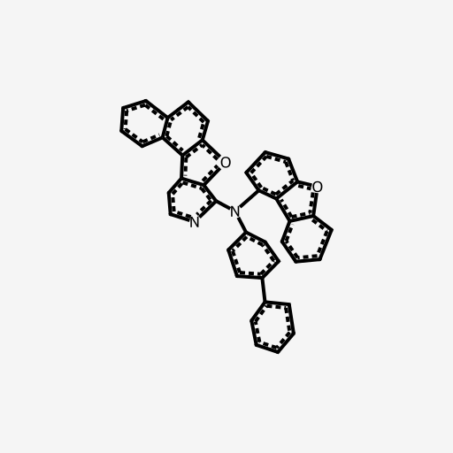 c1ccc(-c2ccc(N(c3nccc4c3oc3ccc5ccccc5c34)c3cccc4oc5ccccc5c34)cc2)cc1